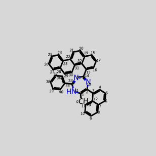 CC1=C(c2cccc3ccccc23)N=C(c2cccc3ccc4c5ccccc5ccc4c23)N=C(c2ccccc2)N1